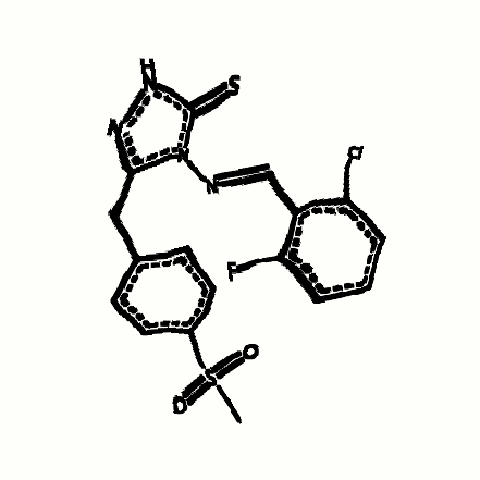 CS(=O)(=O)c1ccc(Cc2n[nH]c(=S)n2N=Cc2c(F)cccc2Cl)cc1